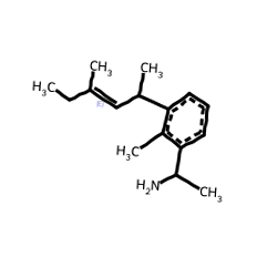 CC/C(C)=C/C(C)c1cccc(C(C)N)c1C